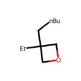 CCCC[CH]C1(CC)COC1